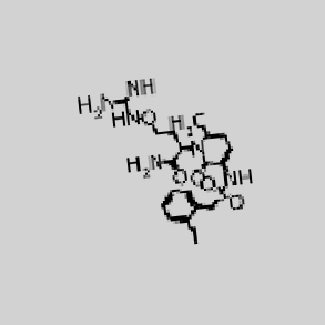 Cc1ccc(NS(=O)(=O)Cc2ccccc2I)c(=O)n1C(CCONC(=N)N)C(N)=O